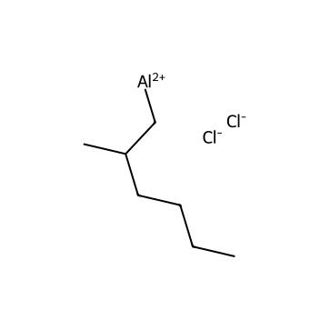 CCCCC(C)[CH2][Al+2].[Cl-].[Cl-]